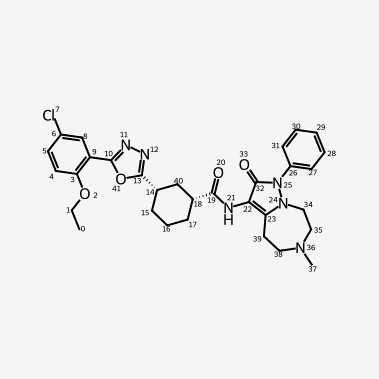 CCOc1ccc(Cl)cc1-c1nnc([C@H]2CCC[C@@H](C(=O)Nc3c4n(n(-c5ccccc5)c3=O)CCN(C)CC4)C2)o1